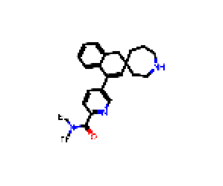 CCN(CC)C(=O)c1ccc(C2=CC3(CCCNCC3)Cc3ccccc32)cn1